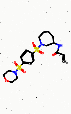 C=CC(=O)NC1CCCCN(S(=O)(=O)c2ccc(S(=O)(=O)N3CCOCC3)cc2)C1